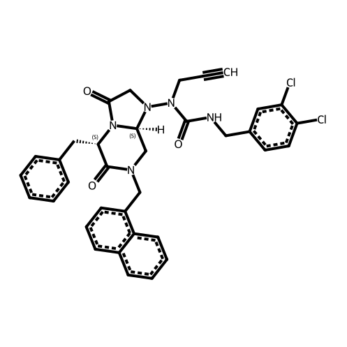 C#CCN(C(=O)NCc1ccc(Cl)c(Cl)c1)N1CC(=O)N2[C@@H](Cc3ccccc3)C(=O)N(Cc3cccc4ccccc34)C[C@@H]21